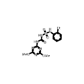 CCc1ccccc1NS(=O)(=O)NC(=O)Nc1nc(OC)nc(OC)n1